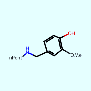 CCCCCNCc1ccc(O)c(OC)c1